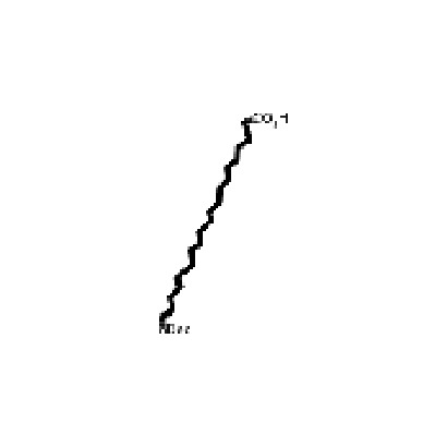 CCCCCCCCCCC=CCC=CCCCCCCCCCCCCCCC(=O)O